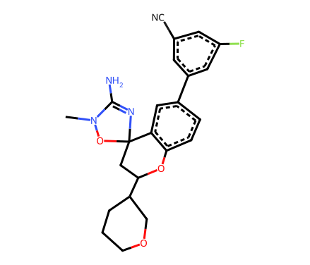 CN1OC2(CC(C3CCCOC3)Oc3ccc(-c4cc(F)cc(C#N)c4)cc32)N=C1N